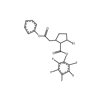 [CH2]CC1C[CH]C(CC(=O)Oc2ccccc2)C1C(=O)Oc1c(F)c(F)c(F)c(F)c1F